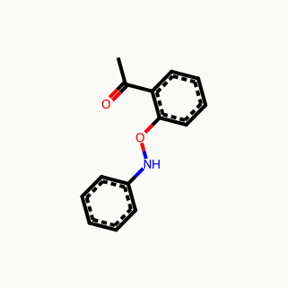 CC(=O)c1ccccc1ONc1ccccc1